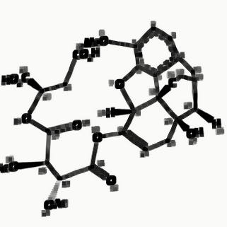 COc1ccc2c3c1O[C@H]1C(OC(=O)[C@H](OC(C)=O)[C@@H](OC(C)=O)C(=O)O[C@H](CC(=O)O)C(=O)O)=CC[C@@]4(O)[C@H](CCC[C@]314)C2